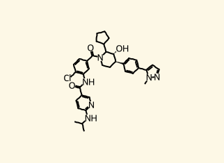 CC(C)Nc1ccc(C(=O)Nc2cc(C(=O)N3CC[C@H](c4ccc(-c5ccnn5C)cc4)[C@@H](O)C3C3CCCC3)ccc2Cl)cn1